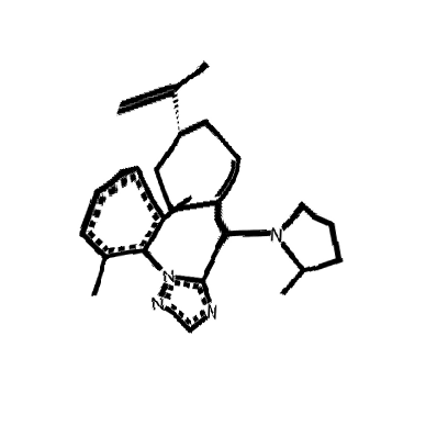 C=C(C)[C@@H]1CC=C(C(c2ncnn2-c2c(C)cccc2C)N2CCCC2C)CC1